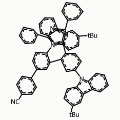 CC(C)(C)c1ccc2c(c1)c1ccccc1n2-c1ccc(-c2nc(-c3ccccc3)nc(-c3ccccc3)n2)c(-c2cc(-c3ccc(C#N)cc3)ccc2-n2c3ccccc3c3cc(C(C)(C)C)ccc32)c1